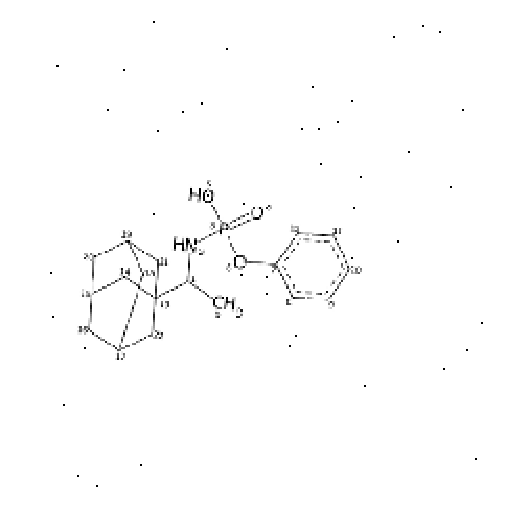 CC(NP(=O)(O)Oc1ccccc1)C12CC3CC(CC(C3)C1)C2